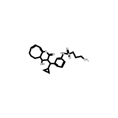 CCCCS(=O)(=O)Nc1cccc(C(C2CC2)C2C(=O)OC3=CC=CCCCC3C2O)c1